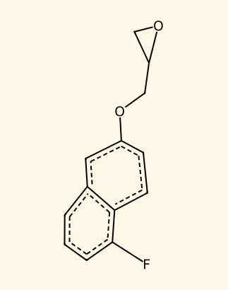 Fc1cccc2cc(OCC3CO3)ccc12